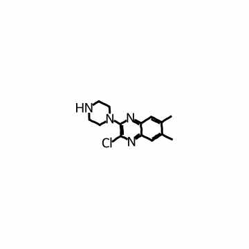 Cc1cc2nc(Cl)c(N3CCNCC3)nc2cc1C